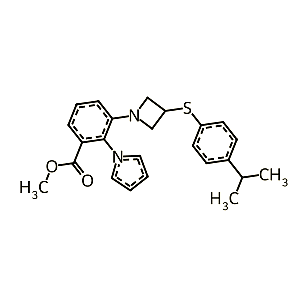 COC(=O)c1cccc(N2CC(Sc3ccc(C(C)C)cc3)C2)c1-n1cccc1